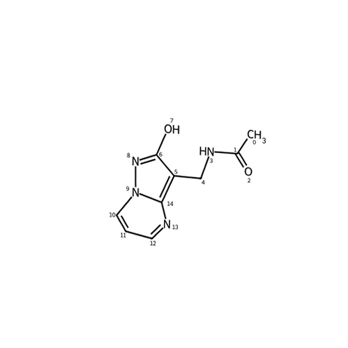 CC(=O)NCc1c(O)nn2cccnc12